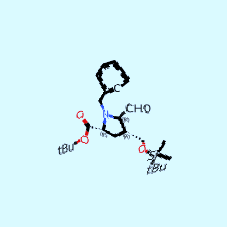 CC(C)(C)OC(=O)[C@H]1C[C@@H](CO[Si](C)(C)C(C)(C)C)[C@H](C=O)N1Cc1ccccc1